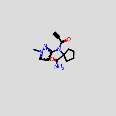 C#CC(=O)N(c1ccn(C)n1)C1(C(N)=O)CCCC1